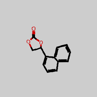 O=C1OCC(c2cccc3ccccc23)O1